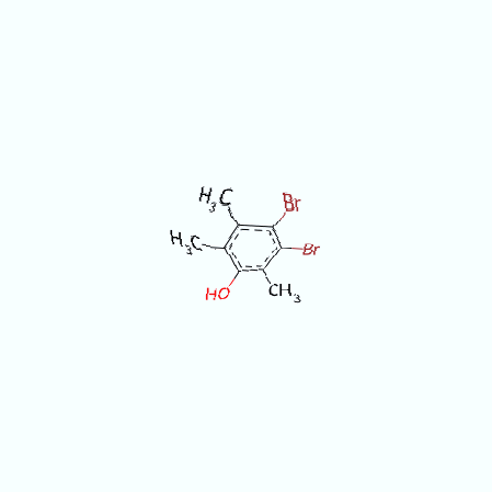 Cc1c(C)c(Br)c(Br)c(C)c1O